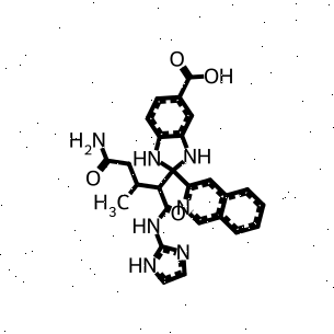 CC(CC(N)=O)C(C(=O)Nc1ncc[nH]1)C1(c2cc3ccccc3cn2)Nc2ccc(C(=O)O)cc2N1